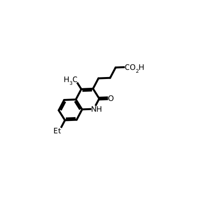 CCc1ccc2c(C)c(CCCC(=O)O)c(=O)[nH]c2c1